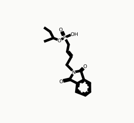 CCC(C)OP(=O)(O)CC=CCN1C(=O)c2ccccc2C1=O